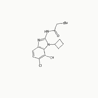 CC(C)(C)CC(=O)Nc1nc2ccc(Cl)c(C#N)c2n1C1CCC1